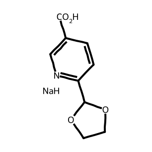 O=C(O)c1ccc(C2OCCO2)nc1.[NaH]